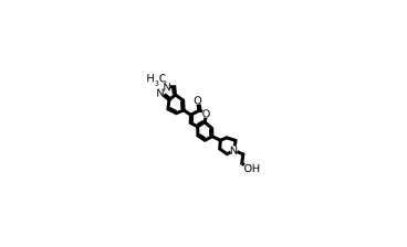 Cn1cc2cc(-c3cc4ccc(C5CCN(CCO)CC5)cc4oc3=O)ccc2n1